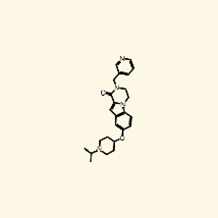 CC(C)N1CCC(Oc2ccc3c(c2)cc2n3CCN(Cc3cccnc3)C2=O)CC1